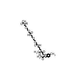 CN[C@@H](CCCCNC(=O)COCCOCCNC(=O)COCCOCCNC(C)=O)C(=O)CN[C@@H](Cc1ccc(C)cc1)C(N)=O